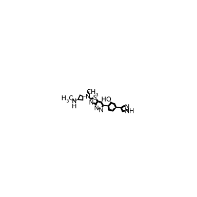 CN[C@H]1C[C@H](N(C)c2nc3nnc(-c4ccc(-c5cn[nH]c5)cc4O)cc3s2)C1